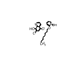 CCCCCCCCOC1=CC=CCN1O.Oc1c(Cl)cc(Cl)c2cccnc12